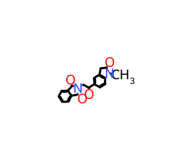 CN1C(=O)Cc2cc(C(=O)CN3C(=O)c4ccccc4C3=O)ccc21